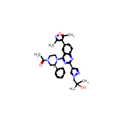 CC(=O)N1CCN(c2nc(-c3cnn(CC(C)(C)O)c3)nc3ccc(-c4c(C)noc4C)cc23)[C@@H](c2ccccc2)C1